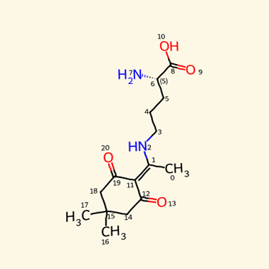 CC(NCCC[C@H](N)C(=O)O)=C1C(=O)CC(C)(C)CC1=O